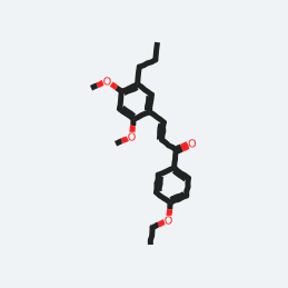 CCCc1cc(C=CC(=O)c2ccc(OCC)cc2)c(OC)cc1OC